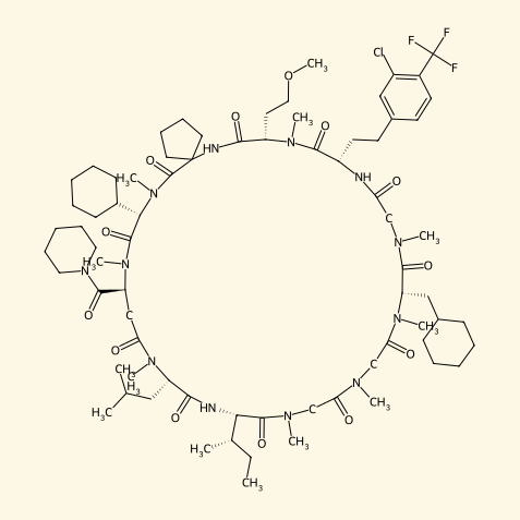 CC[C@H](C)[C@@H]1NC(=O)[C@H](CC(C)C)N(C)C(=O)C[C@@H](C(=O)N2CCCCC2)N(C)C(=O)[C@H](C2CCCCC2)N(C)C(=O)C2(CCCC2)NC(=O)[C@H](CCOC)N(C)C(=O)[C@H](CCc2ccc(C(F)(F)F)c(Cl)c2)NC(=O)CN(C)C(=O)[C@H](CC2CCCCC2)N(C)C(=O)CN(C)C(=O)CN(C)C1=O